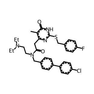 CCN(CC)CCN(Cc1ccc(-c2ccc(Cl)cc2)cc1)C(=O)Cc1nc(SCc2ccc(F)cc2)[nH]c(=O)c1C